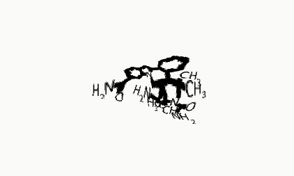 CC1(C)C2c3ccccc3-c3cc4ccc(C(N)=O)cc4n3CC2(C(N)=O)C(C)(C)N1C(N)=O